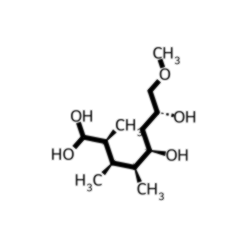 COC[C@H](O)C[C@@H](O)[C@@H](C)[C@@H](C)[C@H](C)C(O)O